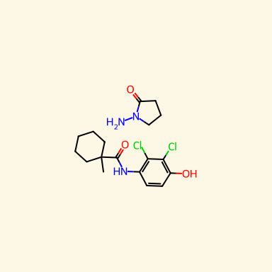 CC1(C(=O)Nc2ccc(O)c(Cl)c2Cl)CCCCC1.NN1CCCC1=O